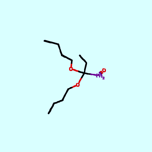 CCCCOC(CC)(OCCCC)[PH2]=O